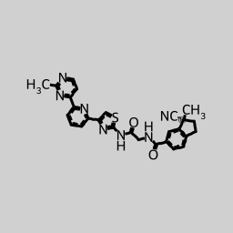 Cc1nccc(-c2cccc(-c3csc(NC(=O)CNC(=O)c4ccc5c(c4)[C@](C)(C#N)CC5)n3)n2)n1